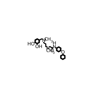 CN(CCCN(C)Cc1ccc(O)c(O)c1)CC(=O)Nc1ccc(Oc2ccccc2)cc1